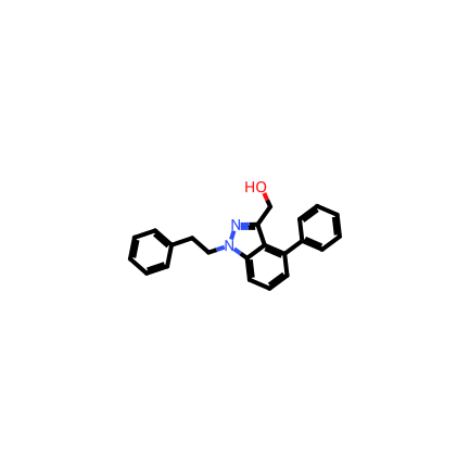 OCc1nn(CCc2ccccc2)c2cccc(-c3ccccc3)c12